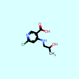 CC(O)CNc1cc(Cl)ncc1C(=O)O